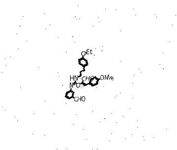 CCOc1ccc(CCCN/C(=N/c2cccc(C=O)c2)O/C(C=O)=C/c2ccc(OC)cc2)cc1